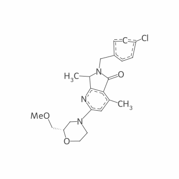 COC[C@@H]1CN(c2cc(C)c3c(n2)C(C)N(Cc2ccc(Cl)cc2)C3=O)CCO1